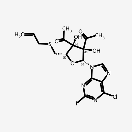 C=CCSC[C@H]1O[C@@H](n2cnc3c(Cl)nc(I)nc32)[C@@](O)(C(C)=O)[C@@]1(O)C(C)=O